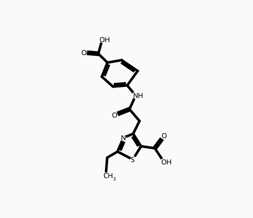 CCc1nc(CC(=O)Nc2ccc(C(=O)O)cc2)c(C(=O)O)s1